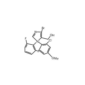 COc1ccc([N+]2(c3c(F)cccc3F)C=NC(Br)=C2CO)c(Cl)c1